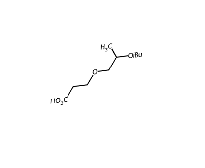 CC(C)COC(C)COCCC(=O)O